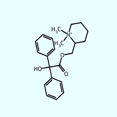 C[N+]1(C)CCCCC1COC(=O)C(O)(c1ccccc1)c1ccccc1